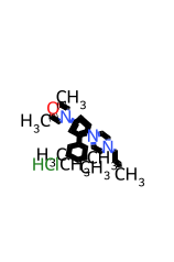 CCCCN1CCN(c2ccc(N3C[C@@H](C)O[C@@H](C)C3)cc2C2CC(C)(C)CC(C)(C)C2)CC1.Cl